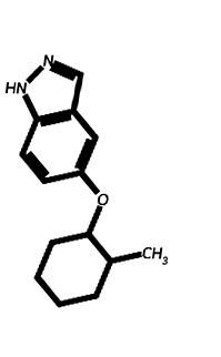 CC1CCCCC1Oc1ccc2[nH]ncc2c1